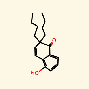 CCCCC1(CCCC)C=Cc2c(O)cccc2C1=O